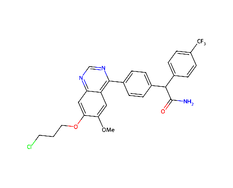 COc1cc2c(-c3ccc(C(C(N)=O)c4ccc(C(F)(F)F)cc4)cc3)ncnc2cc1OCCCCl